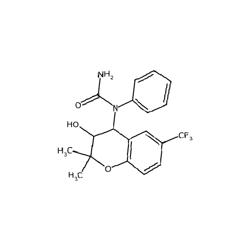 CC1(C)Oc2ccc(C(F)(F)F)cc2C(N(C(N)=O)c2ccccc2)C1O